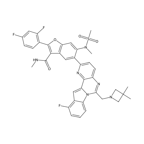 CNC(=O)c1c(-c2ccc(F)cc2F)oc2cc(N(C)S(C)(=O)=O)c(-c3ccc4nc(CN5CC(C)(C)C5)n5c6cccc(F)c6cc5c4n3)cc12